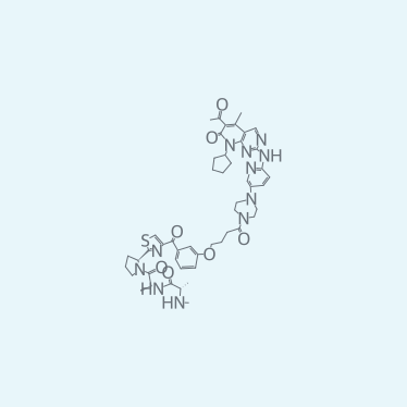 CN[C@@H](C)C(=O)N[C@@H](C)C(=O)N1CCC[C@H]1c1nc(C(=O)c2cccc(OCCCC(=O)N3CCN(c4ccc(Nc5ncc6c(C)c(C(C)=O)c(=O)n(C7CCCC7)c6n5)nc4)CC3)c2)cs1